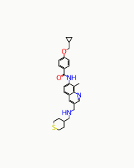 Cc1c(NC(=O)c2ccc(OCC3CC3)cc2)ccc2cc(CNCC3CCSCC3)cnc12